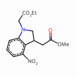 CCOC(=O)CN1CC(CC(=O)OC)c2c1cccc2[N+](=O)[O-]